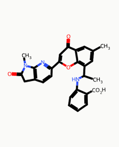 Cc1cc(C(C)Nc2ccccc2C(=O)O)c2oc(-c3ccc4c(n3)N(C)C(=O)C4)cc(=O)c2c1